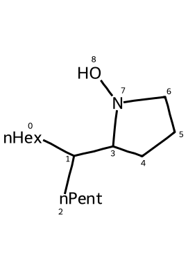 CCCCCCC(CCCCC)C1CCCN1O